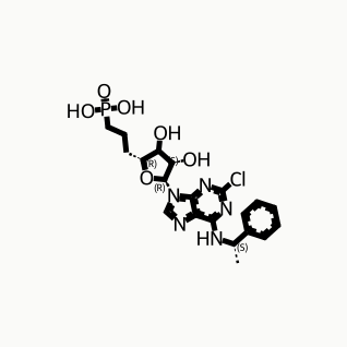 C[C@H](Nc1nc(Cl)nc2c1ncn2[C@@H]1O[C@H](CCCP(=O)(O)O)C(O)[C@@H]1O)c1ccccc1